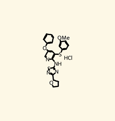 COc1cccc(Sc2cc(Oc3ccccc3)cnc2Nc2nc(C3CCCO3)ns2)c1.Cl